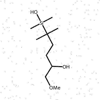 COCC(O)CCC(C)(C)[Si](C)(C)O